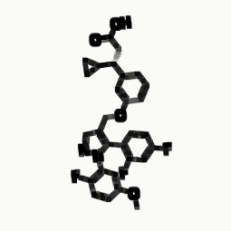 COc1ccc(F)c(-n2ncc(COc3cccc([C@@H](CC(=O)O)C4CC4)c3)c2-c2ccc(F)cc2F)c1